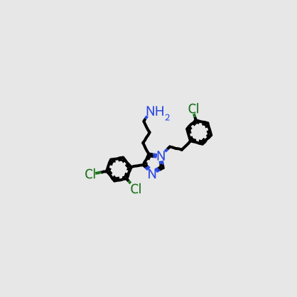 NCCCc1c(-c2ccc(Cl)cc2Cl)ncn1CCc1cccc(Cl)c1